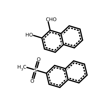 CS(=O)(=O)c1ccc2ccccc2c1.O=Cc1c(O)ccc2ccccc12